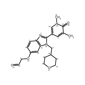 Cc1cc(-c2nc3ccc(OCC=O)cc3n2CC2CCOCC2)cn(C)c1=O